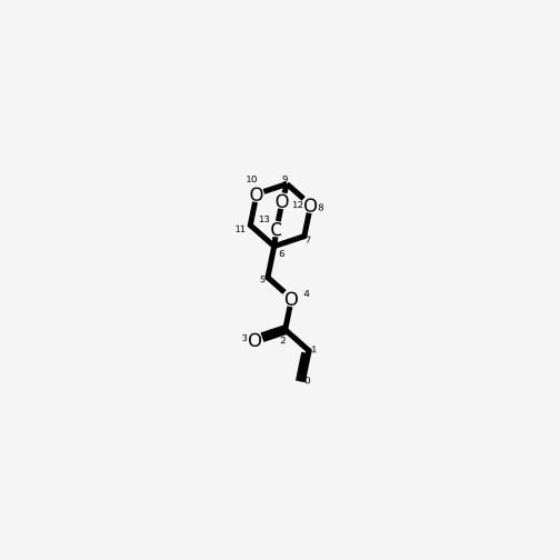 C=CC(=O)OCC12COC(OC1)OC2